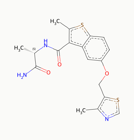 Cc1ncsc1COc1ccc2sc(C)c(C(=O)N[C@@H](C)C(N)=O)c2c1